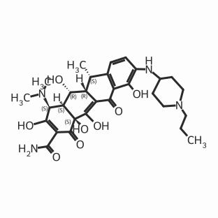 CCCN1CCC(Nc2ccc3c(c2O)C(=O)C2=C(O)[C@]4(O)C(=O)C(C(N)=O)=C(O)[C@@H](N(C)C)[C@H]4[C@H](O)[C@@H]2[C@@H]3C)CC1